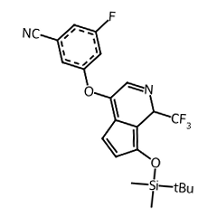 CC(C)(C)[Si](C)(C)OC1=C2C(=C(Oc3cc(F)cc(C#N)c3)C=NC2C(F)(F)F)C=C1